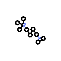 c1ccc(-c2nn(-c3ccc(-c4ccccc4-c4ccccc4-c4ccc(-n5c6ccccc6c6ccccc65)cc4)cc3)c(-c3ccccc3)c2-c2ccccc2)cc1